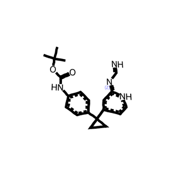 CC(C)(C)OC(=O)Nc1ccc(C2(c3cc[nH]/c(=N\C=N)c3)CC2)cc1